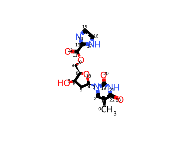 Cc1cn([C@H]2CC(O)[C@@H](COC(=O)c3ncc[nH]3)O2)c(=O)[nH]c1=O